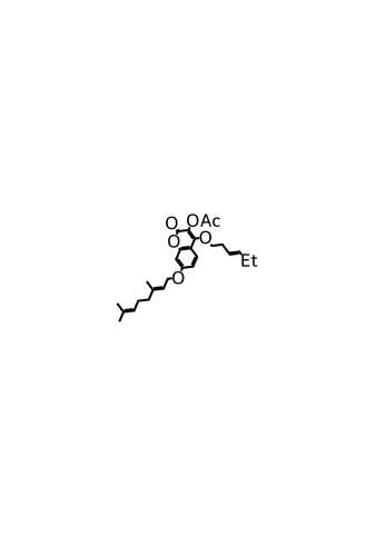 CC/C=C/CCOc1c(OC(C)=O)c(=O)oc2cc(OC/C=C(\C)CCC=C(C)C)ccc12